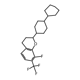 Fc1c(C(F)(F)F)ccc2c1OC(C1CCC(C3CCCCC3)CC1)CC2